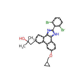 CC(C)(O)Cc1ccc2c(c1)c1cc(OCC3CC3)ccc1c1[nH]c(-c3c(Br)cccc3Br)nc21